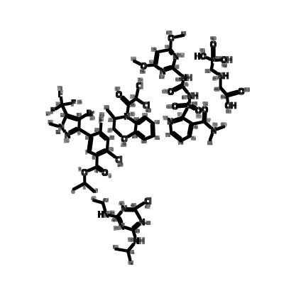 CC(C)OC(=O)c1cc(-c2nn(C)c(C(F)(F)F)c2Br)c(F)cc1Cl.CC1COc2ccccc2N1C(=O)C(Cl)Cl.CCNc1nc(Cl)nc(NC(C)C)n1.COc1cc(OC)nc(NC(=O)NS(=O)(=O)c2ncccc2C(=O)N(C)C)n1.O=C(O)CNCP(=O)(O)O